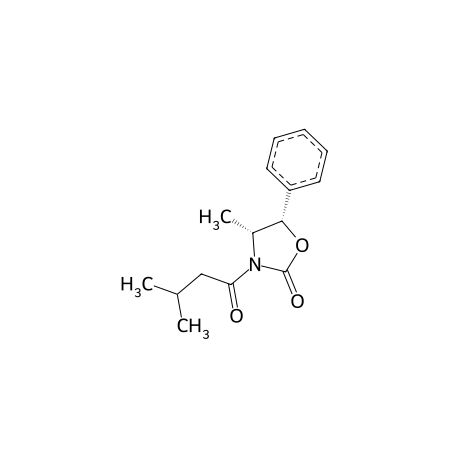 CC(C)CC(=O)N1C(=O)O[C@@H](c2ccccc2)[C@H]1C